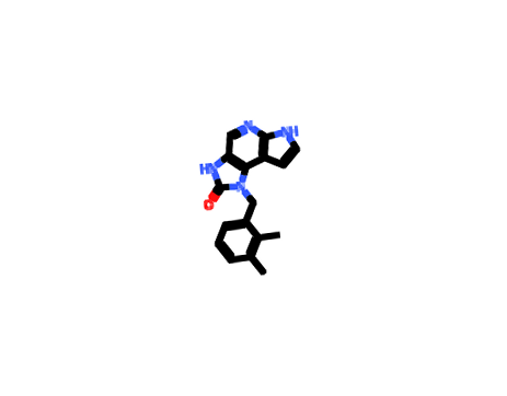 Cc1cccc(Cn2c(=O)[nH]c3cnc4[nH]ccc4c32)c1C